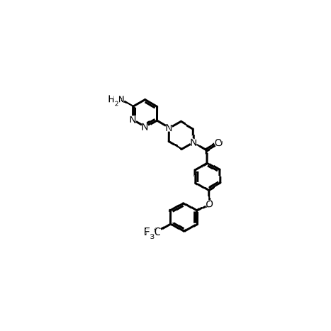 Nc1ccc(N2CCN(C(=O)c3ccc(Oc4ccc(C(F)(F)F)cc4)cc3)CC2)nn1